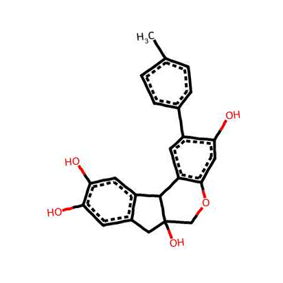 Cc1ccc(-c2cc3c(cc2O)OCC2(O)Cc4cc(O)c(O)cc4C32)cc1